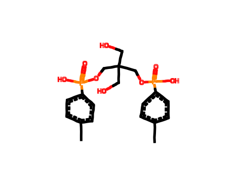 Cc1ccc(P(=O)(O)OCC(CO)(CO)COP(=O)(O)c2ccc(C)cc2)cc1